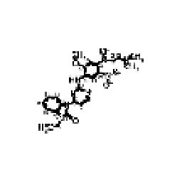 CCn1c(=O)n(-c2ccnc(Nc3cc([N+](=O)[O-])c(N(C)CCN(C)C)cc3OC)n2)c2ccccc21